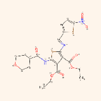 CCOC(=O)c1c(N=Cc2ccc([N+](=O)[O-])s2)sc(NC(=O)C2CCOCC2)c1C(=O)OCC